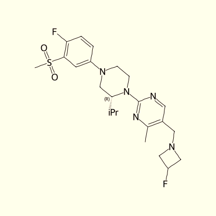 Cc1nc(N2CCN(c3ccc(F)c(S(C)(=O)=O)c3)C[C@H]2C(C)C)ncc1CN1CC(F)C1